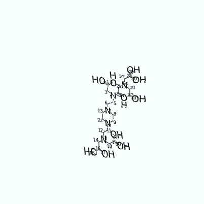 OC(O)CN(CCN1CCN(CCN(CC(O)O)CC(O)O)CC1)CCN(CC(O)O)CC(O)O